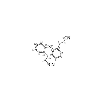 N#CCCc1ccccc1Sc1ccccc1CCC#N